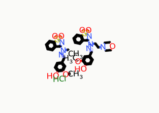 CCN(/N=C/c1ccc(O)c(OC)c1)C1=NS(=O)(=O)c2ccccc21.COc1cc(/C=N/N(CCN2CCOCC2)C2=NS(=O)(=O)c3ccccc32)ccc1O.Cl